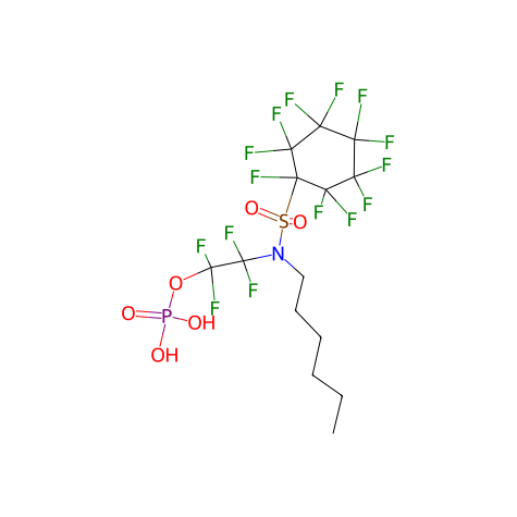 CCCCCCN(C(F)(F)C(F)(F)OP(=O)(O)O)S(=O)(=O)C1(F)C(F)(F)C(F)(F)C(F)(F)C(F)(F)C1(F)F